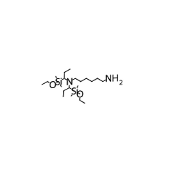 CCO[Si](C)(C)C(CC)N(CCCCCCN)C(CC)[Si](C)(C)OCC